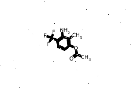 CC(=O)Oc1ccc(C(F)(F)F)c(N)c1C